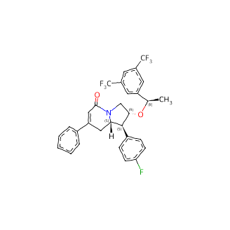 C[C@@H](O[C@H]1CN2C(=O)C=C(c3ccccc3)C[C@H]2[C@@H]1c1ccc(F)cc1)c1cc(C(F)(F)F)cc(C(F)(F)F)c1